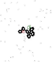 Clc1ccc2c(c1)C(c1ccccc1)(c1ccc(-c3cccc4c3oc3ccccc34)cc1)C1CC=CC=C21